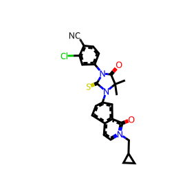 CC1(C)C(=O)N(c2ccc(C#N)c(Cl)c2)C(=S)N1c1ccc2ccn(CC3CC3)c(=O)c2c1